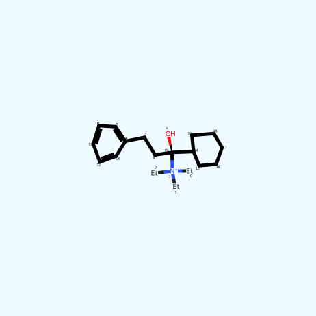 CC[N+](CC)(CC)[C@](O)(CCc1ccccc1)C1CCCCC1